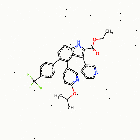 CCOC(=O)c1[nH]c2ccc(-c3ccc(C(F)(F)F)cc3)c(-c3ccc(OC(C)C)nc3)c2c1-c1cccnc1